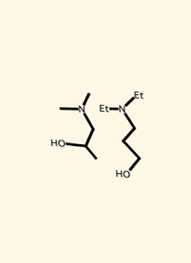 CC(O)CN(C)C.CCN(CC)CCCO